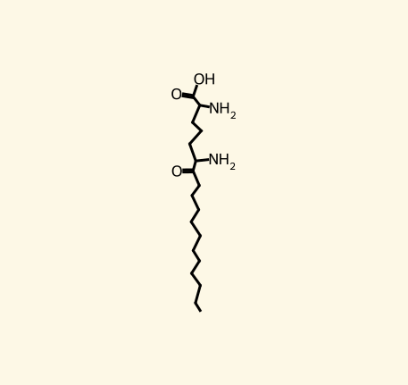 CCCCCCCCCCCC(=O)C(N)CCCC(N)C(=O)O